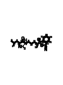 CC(C)C[C@H](N)C(=O)NCCCN(C)S(=O)(=O)c1ccccc1C#N